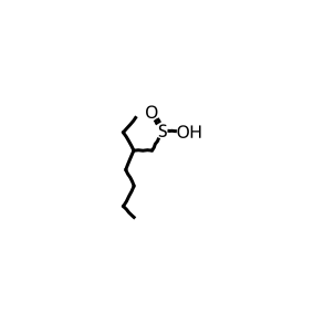 CCCCC(CC)CS(=O)O